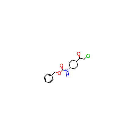 O=C(N[C@H]1CC[C@H](C(=O)CCl)CC1)OCc1ccccc1